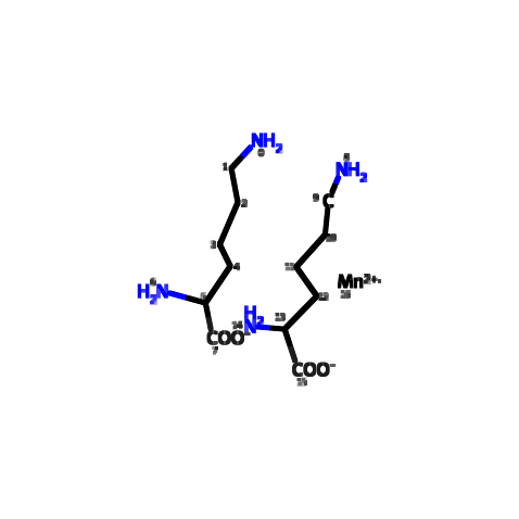 NCCCCC(N)C(=O)[O-].NCCCCC(N)C(=O)[O-].[Mn+2]